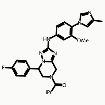 COc1cc(Nc2nc3n(n2)C(c2ccc(F)cc2)CN(C(=O)C(C)C)C3)ccc1-n1cnc(C)c1